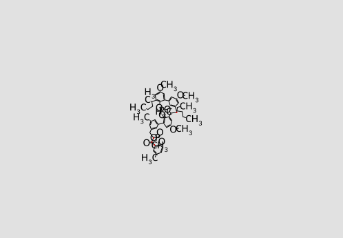 CCCCc1cc(C)cc(-c2cc(OC)cc(C(C)CCC)c2Op2oc3c(CCCC)cc(OC)cc3c3cc(OC)cc(C(C)CCC)c3o2)c1OP1OC(=O)c2cc(C)ccc2O1